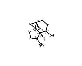 C[C@H]1CC[C@]23C[C@]2(C)CC[C@@H](O)[C@H]13